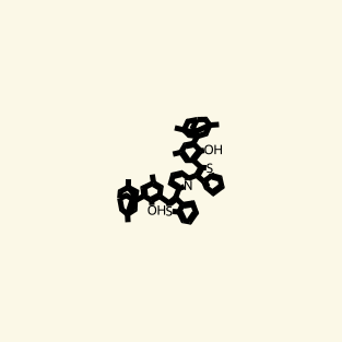 Cc1cc(-c2sc3ccccc3c2-c2cccc(-c3c(-c4cc(C)cc(C56CC7CC(C)(CC(C)(C7)C5)C6)c4O)sc4ccccc34)n2)c(O)c(C23CC4CC(C)(CC(C)(C4)C2)C3)c1